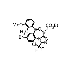 CCOC(=O)C[C@H]1O[C@H](c2cccc(OC)c2C)c2cc(Br)ccc2-n2c1nnc2C(F)(F)Cl